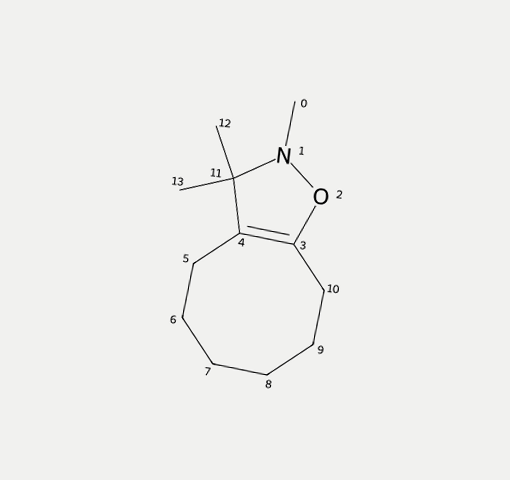 CN1OC2=C(CCCCCC2)C1(C)C